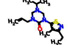 C=CCN1CN(C(C)C)CN(c2snc(CC)c2C)C1=O